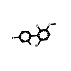 COc1ccc(Br)c(-c2ccc(F)cc2F)c1F